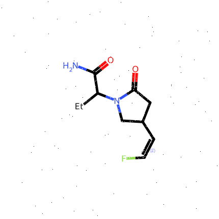 CCC(C(N)=O)N1CC(/C=C\F)CC1=O